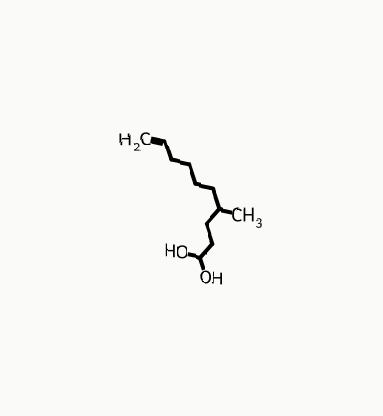 C=CCCCCC(C)CCC(O)O